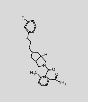 Cc1cccc(C(N)=O)c1C(=O)N1CC2CN(CC[CH]c3cccc(F)c3)C[C@H]2C1